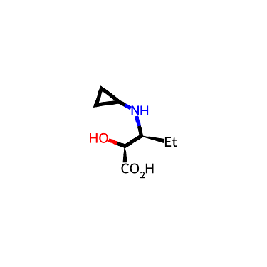 CC[C@H](NC1CC1)[C@H](O)C(=O)O